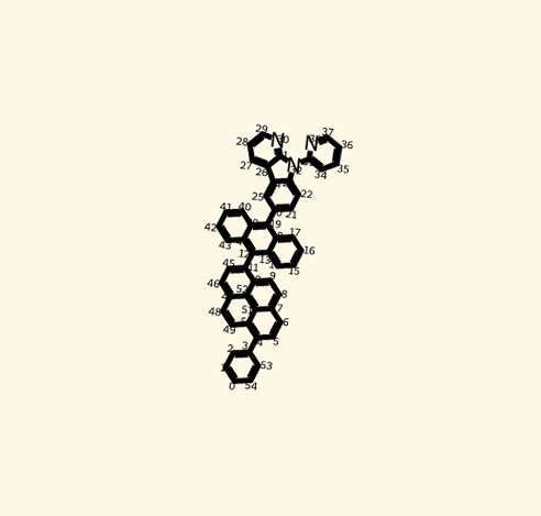 c1ccc(-c2ccc3ccc4c(-c5c6ccccc6c(-c6ccc7c(c6)c6cccnc6n7-c6ccccn6)c6ccccc56)ccc5ccc2c3c54)cc1